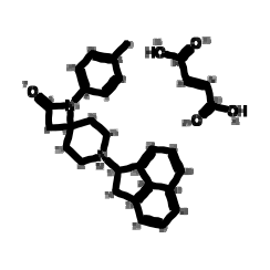 Cc1ccc(N2C(=O)CC23CCN(C2Cc4cccc5cccc2c45)CC3)cc1.O=C(O)C=CC(=O)O